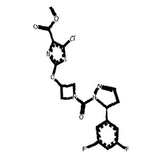 COC(=O)c1nc(OC2CN(C(=O)N3N=CC[C@H]3c3cc(F)cc(F)c3)C2)sc1Cl